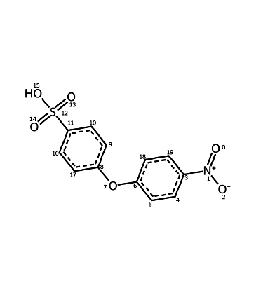 O=[N+]([O-])c1ccc(Oc2ccc(S(=O)(=O)O)cc2)cc1